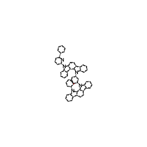 c1ccc(-c2cccc(-n3c4ccccc4c4c3ccc3c5ccccc5n(-c5cccc(-n6c7ccccc7c7ccc8c9ccccc9n(-c9ccccc9)c8c76)c5)c34)n2)cc1